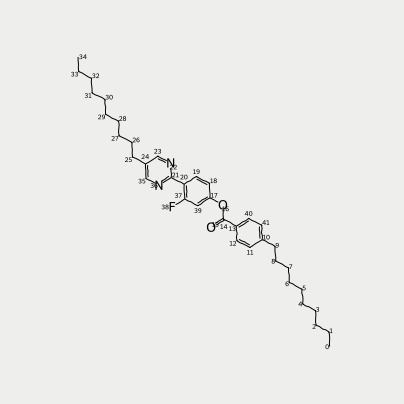 CCCCCCCCCCc1ccc(C(=O)Oc2ccc(-c3ncc(CCCCCCCCCC)cn3)c(F)c2)cc1